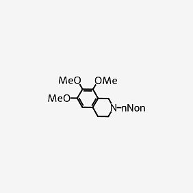 CCCCCCCCCN1CCc2cc(OC)c(OC)c(OC)c2C1